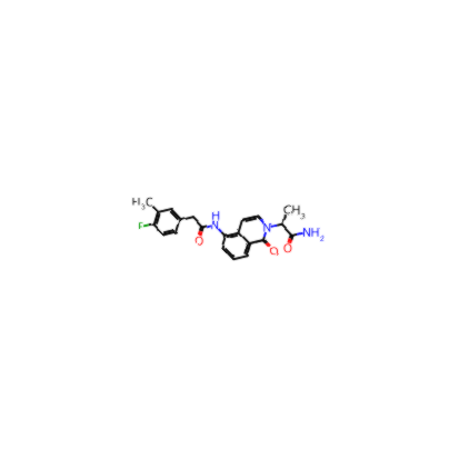 Cc1cc(CC(=O)Nc2cccc3c(=O)n([C@@H](C)C(N)=O)ccc23)ccc1F